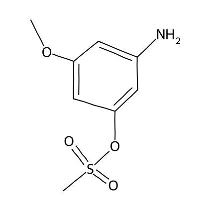 COc1cc(N)cc(OS(C)(=O)=O)c1